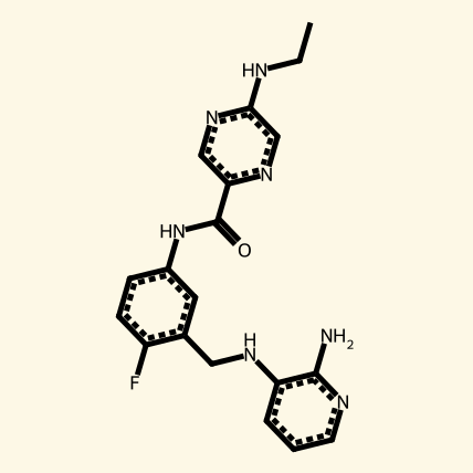 CCNc1cnc(C(=O)Nc2ccc(F)c(CNc3cccnc3N)c2)cn1